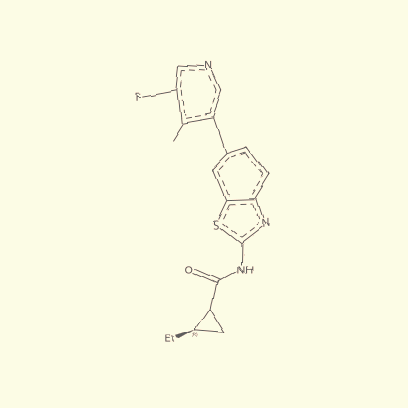 CC[C@@H]1CC1C(=O)Nc1nc2ccc(-c3cncc(F)c3C)cc2s1